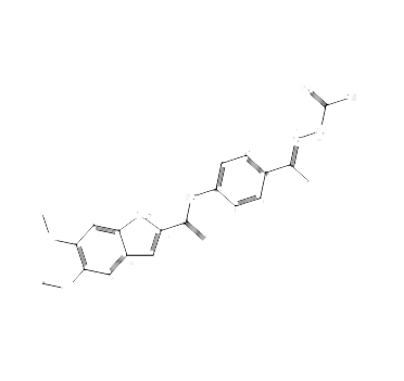 C=C(Nc1ccc(/C(C)=N/NC(=N)N)cc1)c1cc2cc(OC)c(OC)cc2[nH]1